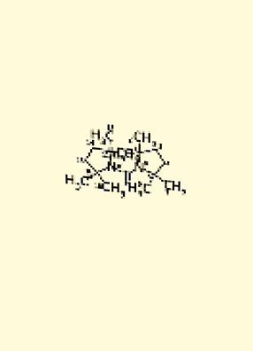 CC1(C)CCC(C)(C)[N]1[Ti][N]1C(C)(C)CCC1(C)C